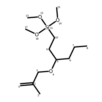 C=C(C)COC(CCC)CC[Si](OC)(OC)OC